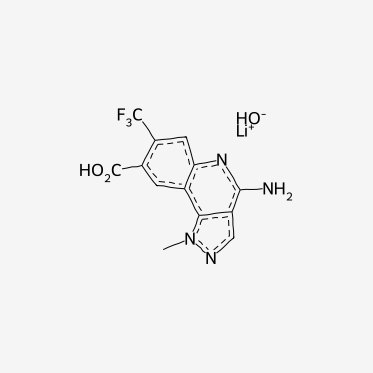 Cn1ncc2c(N)nc3cc(C(F)(F)F)c(C(=O)O)cc3c21.[Li+].[OH-]